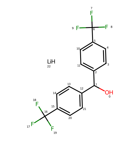 OC(c1ccc(C(F)(F)F)cc1)c1ccc(C(F)(F)F)cc1.[LiH]